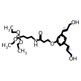 CCO[Si](CCCNC(=O)CCOc1cc(/C=C/CO)cc(/C=C/CO)c1)(OCC)OCC